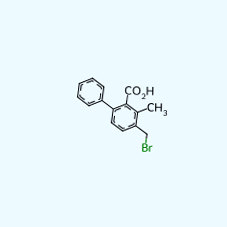 Cc1c(CBr)ccc(-c2ccccc2)c1C(=O)O